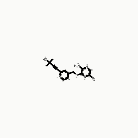 CC(C)(O)C#Cc1cc(COc2nc(Br)cnc2N)ccn1